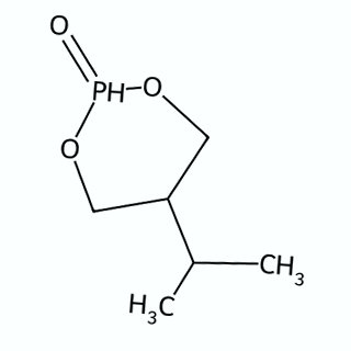 CC(C)C1CO[PH](=O)OC1